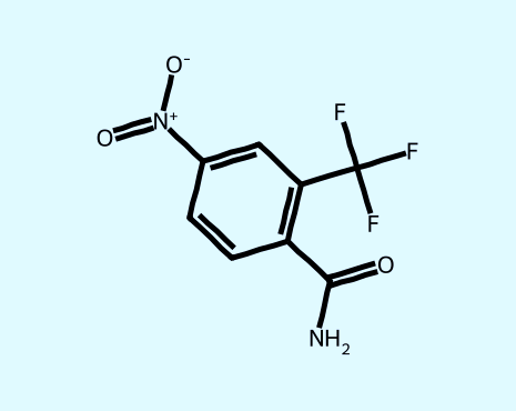 NC(=O)c1ccc([N+](=O)[O-])cc1C(F)(F)F